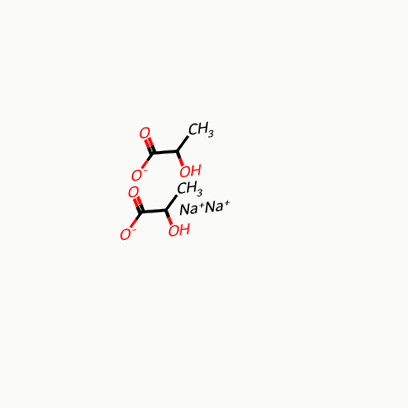 CC(O)C(=O)[O-].CC(O)C(=O)[O-].[Na+].[Na+]